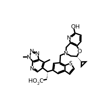 Cc1c([C@@H](CC(=O)O)c2cc(CN3Cc4nc(O)ccc4O[C@H](C4CC4)C3)c3sccc3c2)cnc2c1nnn2C